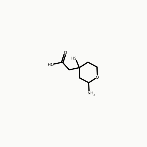 NC1CC(S)(CC(=O)O)CCO1